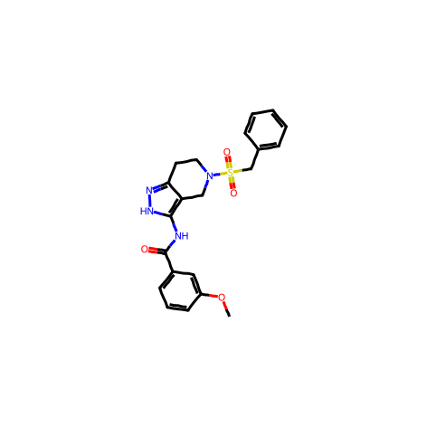 COc1cccc(C(=O)Nc2[nH]nc3c2CN(S(=O)(=O)Cc2ccccc2)CC3)c1